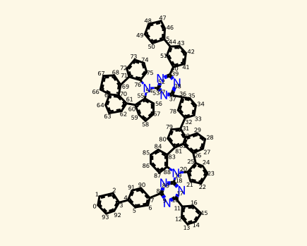 c1ccc(-c2ccc(-c3nc(-c4ccccc4)nc(N4c5ccccc5-c5cccc6c(-c7cccc(-c8nc(-c9cccc(-c%10ccccc%10)c9)nc(N9c%10ccccc%10-c%10cccc%11cccc(c%10%11)-c%10ccccc%109)n8)c7)ccc(c56)-c5ccccc54)n3)cc2)cc1